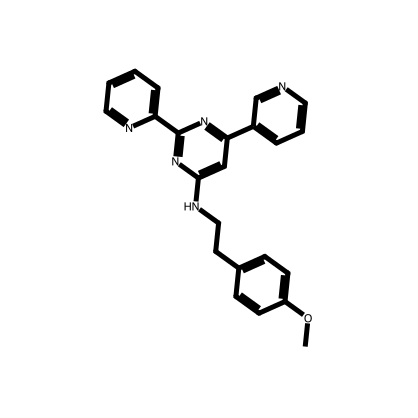 COc1ccc(CCNc2cc(-c3cccnc3)nc(-c3ccccn3)n2)cc1